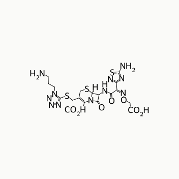 NCCCn1nnnc1SCC1=C(C(=O)O)N2C(=O)C(NC(=O)/C(=N\OCC(=O)O)c3nsc(N)n3)[C@H]2SC1